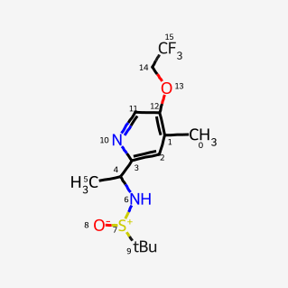 Cc1cc(C(C)N[S+]([O-])C(C)(C)C)ncc1OCC(F)(F)F